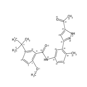 COc1ccc(C(C)(C)C)cc1C(=O)Nc1ccc(C)c(-c2cc(C(C)=O)[nH]n2)c1